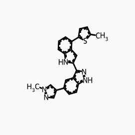 Cc1ccc(-c2cccc3[nH]c(-c4n[nH]c5ccc(-c6cnn(C)c6)cc45)cc23)s1